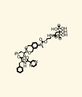 CC(C)C[C@H](NC(=O)[C@H](Cc1ccccc1)NC(=O)c1cnccn1)B1OCc2ccc(N(C)C(=O)OCCNC(=O)CC(O)(P(=O)(O)O)P(=O)(O)O)cc2CO1